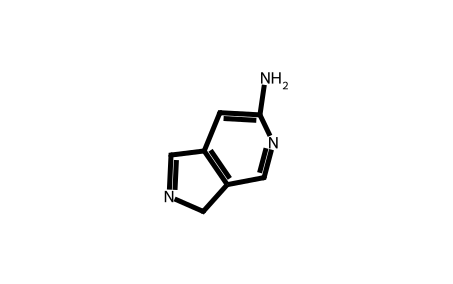 Nc1cc2c(cn1)CN=C2